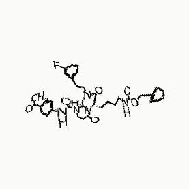 CC(=O)c1ccc(NC(=O)N2CCC(=O)N3[C@@H]2CN(CCc2cccc(F)c2)C(=O)[C@@H]3CCCCNC(=O)OCc2ccccc2)cc1